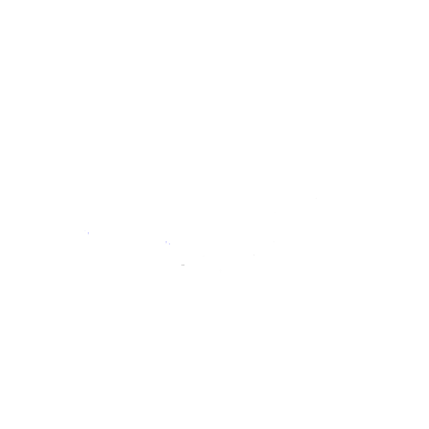 N#CCCNC(=O)c1ccc(C(=O)C2=CC(=O)c3ccccc3C2=O)cc1